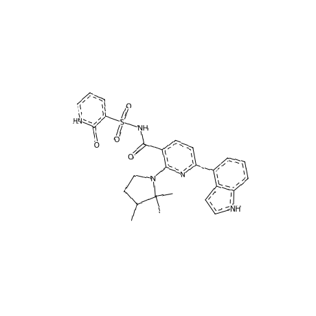 CC1CCN(c2nc(-c3cccc4[nH]ccc34)ccc2C(=O)NS(=O)(=O)c2ccc[nH]c2=O)C1(C)C